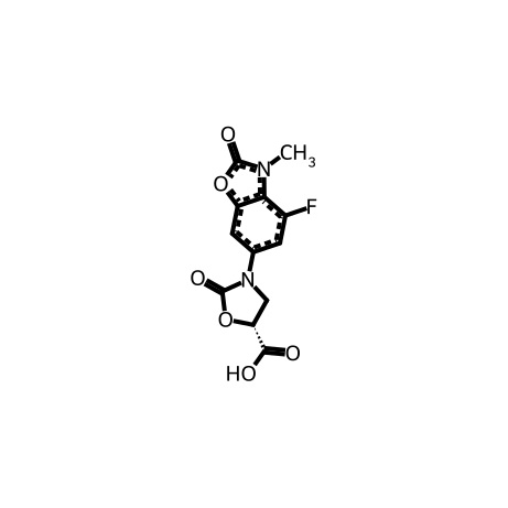 Cn1c(=O)oc2cc(N3C[C@H](C(=O)O)OC3=O)cc(F)c21